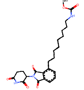 CC(C)(C)OC(=O)NCCCCCCCCCc1cccc2c1C(=O)N(C1CCC(=O)NC1=O)C2=O